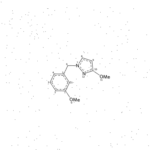 COc1cccc(Cn2ccc(OC)n2)c1